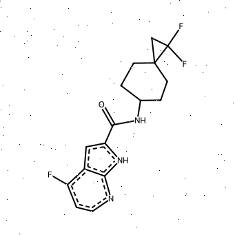 O=C(NC1CCC2(CC1)CC2(F)F)c1cc2c(F)ccnc2[nH]1